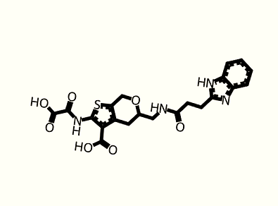 O=C(CCc1nc2ccccc2[nH]1)NCC1Cc2c(sc(NC(=O)C(=O)O)c2C(=O)O)CO1